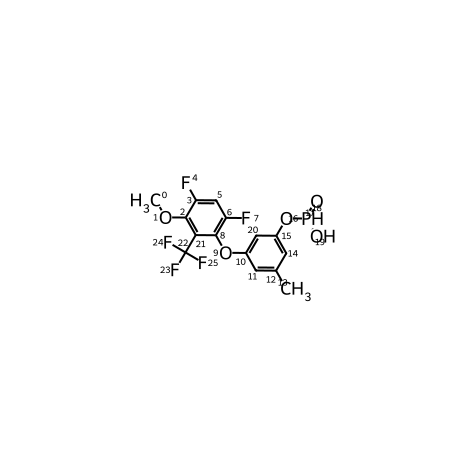 COc1c(F)cc(F)c(Oc2cc(C)cc(O[PH](=O)O)c2)c1C(F)(F)F